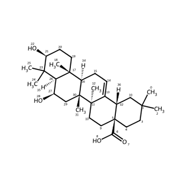 CC1(C)CC[C@]2(C(=O)O)CC[C@]3(C)C(=CC[C@@H]4[C@@]5(C)CC[C@H](O)C(C)(C)[C@@H]5[C@H](O)C[C@]43C)[C@@H]2C1